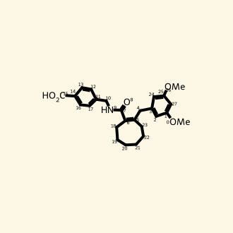 COc1cc(CC2=C(C(=O)NCc3ccc(C(=O)O)cc3)CCCCCC2)cc(OC)c1